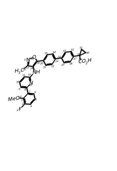 COc1c(F)cccc1-c1cccc(Nc2c(C)noc2-c2ccc(-c3ccc(C4(C(=O)O)CC4)cc3)cc2)n1